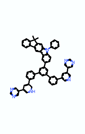 CC1(C)c2ccccc2-c2cc3c4cc(-c5cc(-c6cccc(C7=CC(c8cncnc8)=CNC7)c6)cc(-c6cccc(-c7cncc(-c8cncnc8)c7)c6)c5)ccc4n(-c4ccccc4)c3cc21